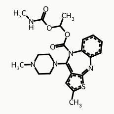 CNC(=O)OC(C)OC(=O)N1C(N2CCN(C)CC2)=c2cc(C)sc2=Nc2ccccc21